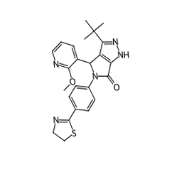 COc1ncccc1C1c2c(C(C)(C)C)n[nH]c2C(=O)N1c1ccc(C2=NCCS2)cc1